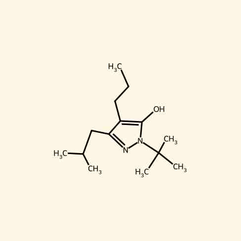 CCCc1c(CC(C)C)nn(C(C)(C)C)c1O